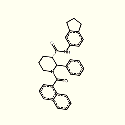 O=C(Nc1ccc2c(c1)CCC2)[C@H]1CCCN(C(=O)c2cccc3ccccc23)C1c1ccccc1